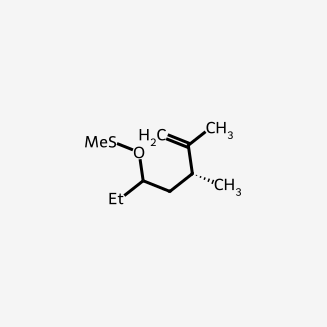 C=C(C)[C@H](C)CC(CC)OSC